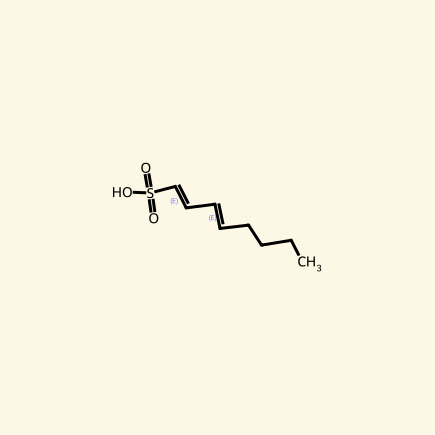 CCCC/C=C/C=C/S(=O)(=O)O